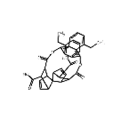 CCc1cccc2c3c4c(CC)cccc4c(c12)OC(=O)C1C(C(=O)O)C2C=CC1C21C2C=CC1C(C(=O)O3)C2C(=O)O